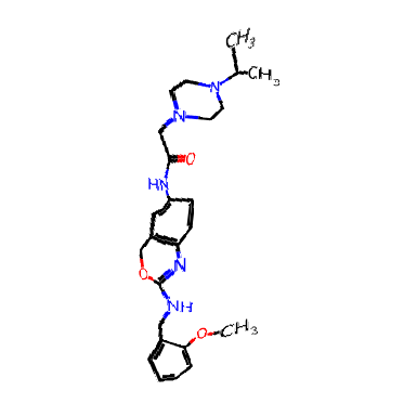 COc1ccccc1CNC1=Nc2ccc(NC(=O)CN3CCN(C(C)C)CC3)cc2CO1